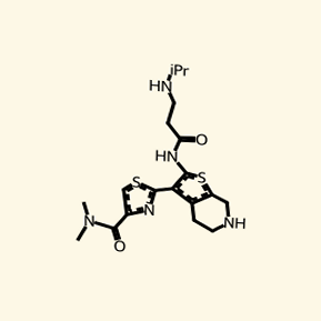 CC(C)NCCC(=O)Nc1sc2c(c1-c1nc(C(=O)N(C)C)cs1)CCNC2